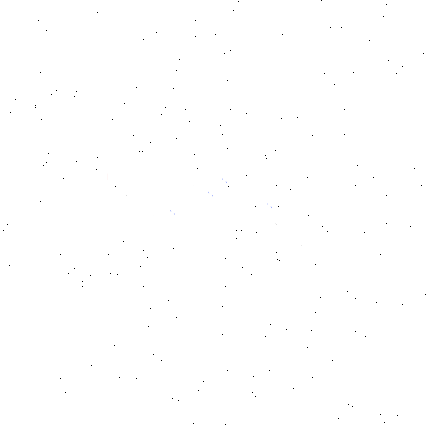 Cc1nc(-c2ccn(CCNC(=O)OC(C)(C)C)n2)sc1C(=O)O